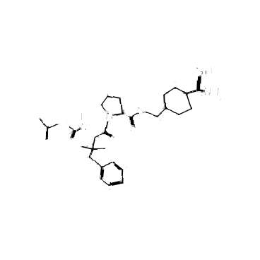 CC(C)OC(=O)N[C@H](C(=S)N1CCC[C@H]1C(=O)NCC1CCC(C(=N)N)CC1)C(C)(C)Cc1ccccc1